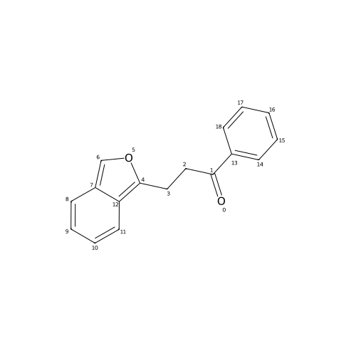 O=C(CCc1occ2ccccc12)c1ccccc1